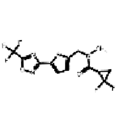 CN(Cc1ccc(-c2noc(C(F)(F)F)n2)s1)C(=O)C1CC1(F)F